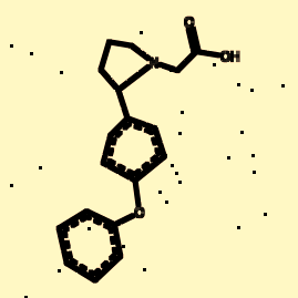 O=C(O)CN1CCCC1c1ccc(Oc2ccccc2)cc1